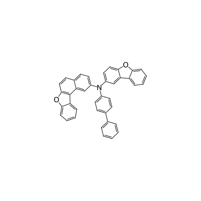 c1ccc(-c2ccc(N(c3ccc4oc5ccccc5c4c3)c3ccc4ccc5oc6ccccc6c5c4c3)cc2)cc1